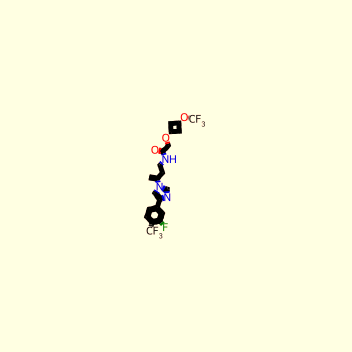 C=C(CCNC(=O)CO[C@H]1C[C@@H](OC(F)(F)F)C1)n1cnc(-c2ccc(C(F)(F)F)c(F)c2)c1